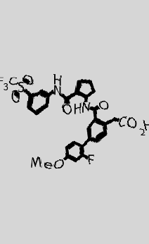 COc1ccc(-c2ccc(CC(=O)O)c(C(=O)NC3CCCC3C(=O)Nc3cccc(S(=O)(=O)C(F)(F)F)c3)c2)c(F)c1